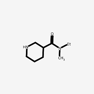 CCN(C)C(=O)C1CCCNC1